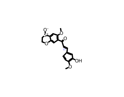 COc1ccc(/C=C/C(=O)c2cc3c(cc2OC)[S+]([O-])CCO3)cc1O